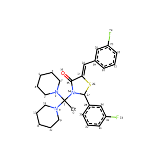 CCC(N1CCCCC1)(N1CCCCC1)N1C(=O)C(=Cc2cccc(F)c2)SC1c1cccc(F)c1